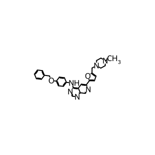 CN1CCN(Cc2ccc(-c3cc4c(Nc5ccc(OCc6ccccc6)cc5)ncnc4cn3)o2)CC1